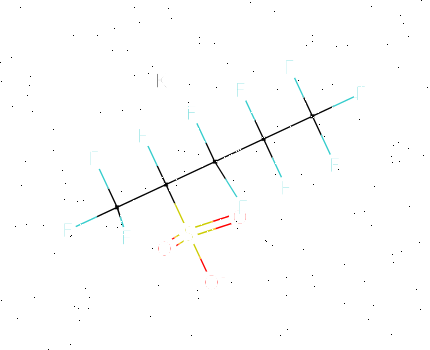 O=S(=O)([O-])C(F)(C(F)(F)F)C(F)(F)C(F)(F)C(F)(F)F.[K+]